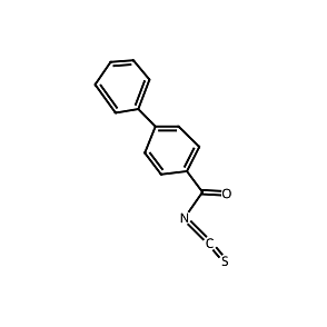 O=C(N=C=S)c1ccc(-c2ccccc2)cc1